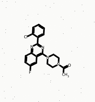 CC(=O)N1CCN(c2nc(-c3ccccc3Cl)nc3ccc(F)cc23)CC1